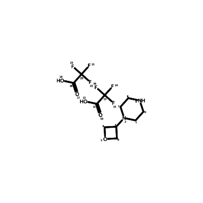 C1CN(C2COC2)CCN1.O=C(O)C(F)(F)F.O=C(O)C(F)(F)F